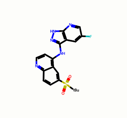 CC(C)(C)S(=O)(=O)c1ccc2nccc(Nc3n[nH]c4ncc(F)cc34)c2c1